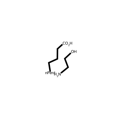 CCCCCCCCC(=O)O.NCCO